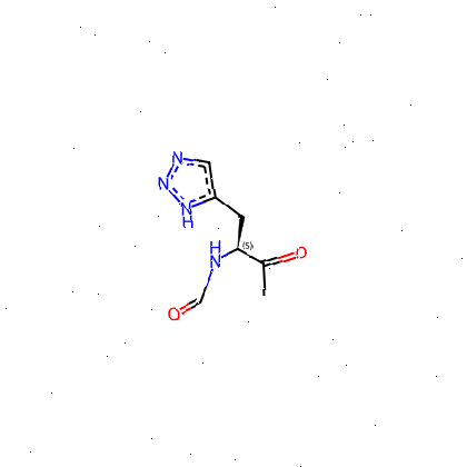 CC(=O)[C@H](Cc1cnn[nH]1)NC=O